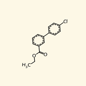 CCOC(=O)c1cccc(-c2ccc(Cl)cc2)c1